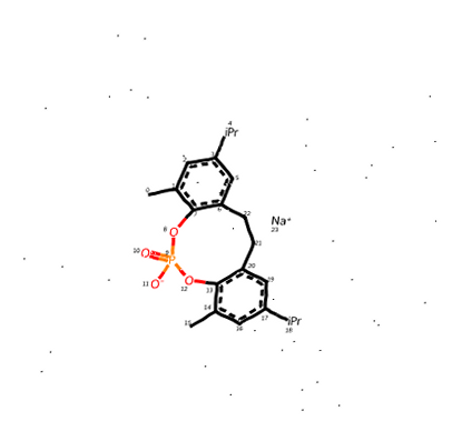 Cc1cc(C(C)C)cc2c1OP(=O)([O-])Oc1c(C)cc(C(C)C)cc1CC2.[Na+]